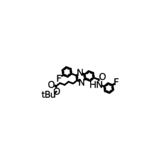 CC(C)(C)OC(=O)CCCCc1nc2cc(C(=O)Nc3cccc(F)c3)ccc2nc1-c1cccc(F)c1